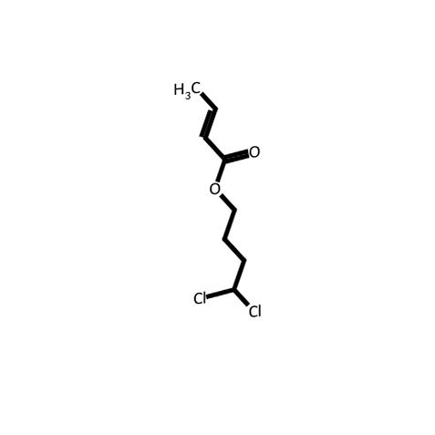 CC=CC(=O)OCCCC(Cl)Cl